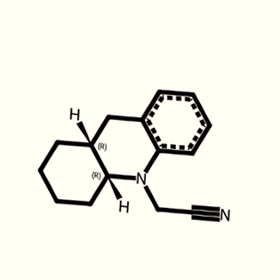 N#CCN1c2ccccc2C[C@H]2CCCC[C@H]21